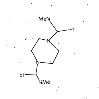 CCC(NC)N1CCN(C(CC)NC)CC1